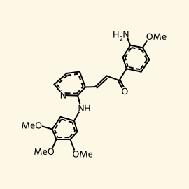 COc1ccc(C(=O)C=Cc2cccnc2Nc2cc(OC)c(OC)c(OC)c2)cc1N